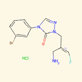 Cl.NC/C(=C\F)Cn1ncn(-c2cccc(Br)c2)c1=O